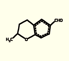 CC1CCc2cc(C=O)ccc2O1